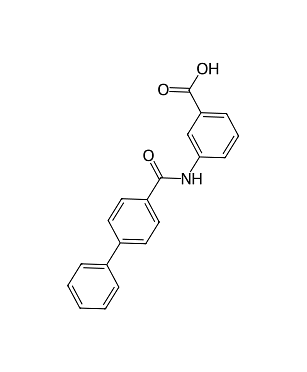 O=C(O)c1cccc(NC(=O)c2ccc(-c3ccccc3)cc2)c1